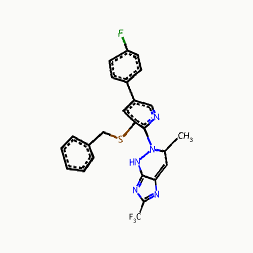 CC1C=C2N=C(C(F)(F)F)N=C2NN1c1ncc(-c2ccc(F)cc2)cc1SCc1ccccc1